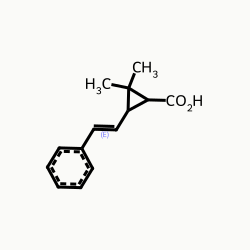 CC1(C)C(/C=C/c2ccccc2)C1C(=O)O